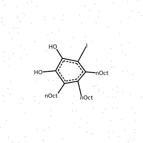 CCCCCCCCc1c(O)c(O)c(I)c(CCCCCCCC)c1CCCCCCCC